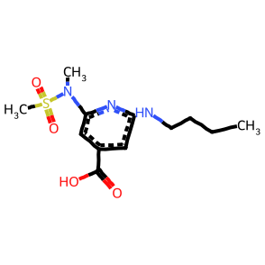 CCCCNc1cc(C(=O)O)cc(N(C)S(C)(=O)=O)n1